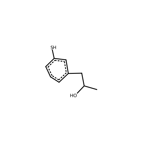 CC(O)Cc1cccc(S)c1